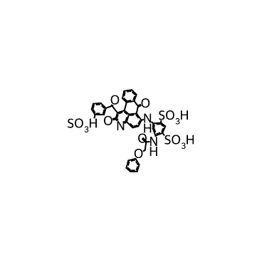 Cn1c(=O)c(C(=O)c2cccc(S(=O)(=O)O)c2)c2c3c(c(Nc4cc(NC(=O)COc5ccccc5)c(S(=O)(=O)O)cc4S(=O)(=O)O)ccc31)C(=O)c1ccccc1-2